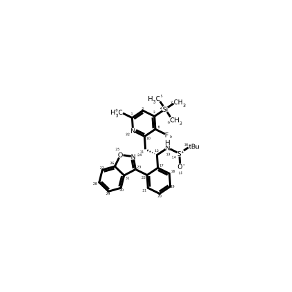 Cc1cc([Si](C)(C)C)c(F)c(C[C@H](N[S+]([O-])C(C)(C)C)c2ccccc2-c2noc3ccccc23)n1